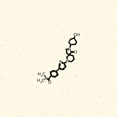 CN(C)C(=O)c1ccc(-c2ccc(N3CCCC4(CCN(C5CCC(O)CC5)C4=O)C3)nc2)cc1